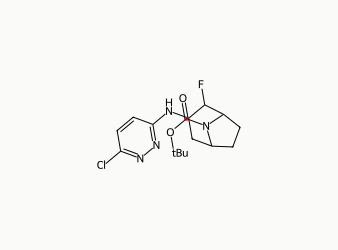 CC(C)(C)OC(=O)N1C2CCC1C(F)C(Nc1ccc(Cl)nn1)C2